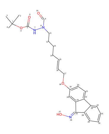 CC(C)(C)OC(=O)NN(C=O)CCCC/C=C/COc1ccc2c(c1)/C(=N\O)c1ccccc1-2